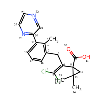 Cc1c(CC(=C(Cl)Cl)C2(C(=O)O)CC2(C)C)cccc1-c1cnccn1